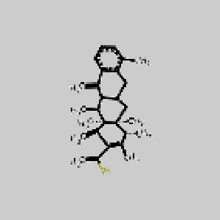 C=C(S)C1=C(C)[C@@H](C)[C@]2(C)CC3Cc4c(C)cccc4C(=C)C3C(C)[C@]2(C)C1=C